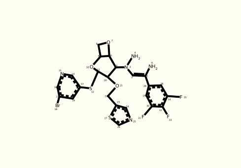 N/C(=C\N(N)C1C2OCC2OC(Sc2cncc(Br)c2)C1OCc1cncs1)c1cc(F)c(F)c(F)c1